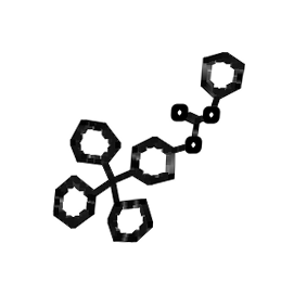 O=C(Oc1ccccc1)Oc1ccc(C(c2ccccc2)(c2ccccc2)c2ccccc2)cc1